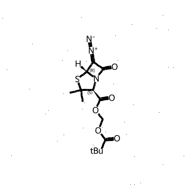 CC(C)(C)C(=O)OCOC(=O)[C@@H]1N2C(=O)C(=[N+]=[N-])[C@H]2SC1(C)C